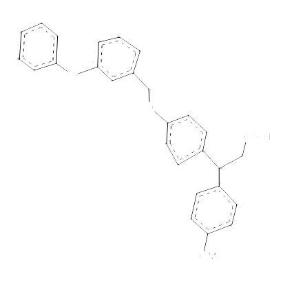 COc1ccc(C(CC(=O)O)c2ccc(OCc3cccc(Oc4ccccc4)c3)cc2)cc1